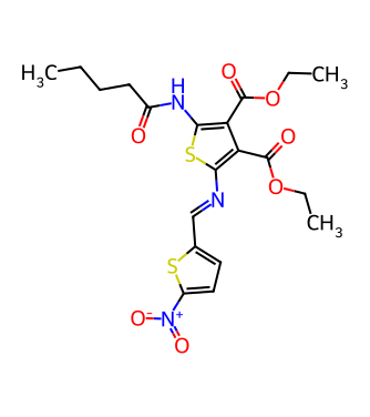 CCCCC(=O)Nc1sc(N=Cc2ccc([N+](=O)[O-])s2)c(C(=O)OCC)c1C(=O)OCC